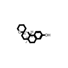 C[C@@]12CCc3cc(O)ccc3[C@H]1C[C@]1(CCCCO1)CC2